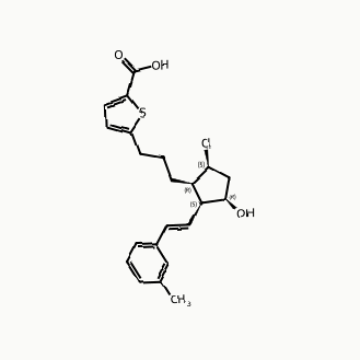 Cc1cccc(C=C[C@H]2[C@@H](CCCc3ccc(C(=O)O)s3)[C@@H](Cl)C[C@H]2O)c1